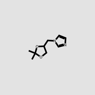 CC1(C)OCC(Cn2ccnc2)O1